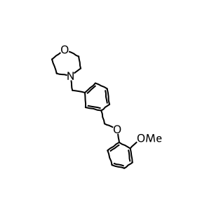 COc1ccccc1OCc1cccc(CN2CCOCC2)c1